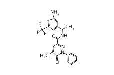 Cc1cc(C(=O)N[C@H](C)c2cc(N)cc(C(F)(F)F)c2)nn(-c2ccccc2)c1=O